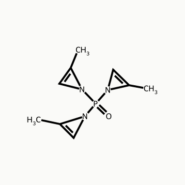 CC1=CN1P(=O)(N1C=C1C)N1C=C1C